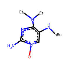 CCCCNc1c[n+]([O-])c(N)nc1N(CC)CC